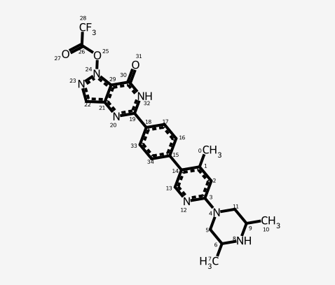 Cc1cc(N2CC(C)NC(C)C2)ncc1-c1ccc(-c2nc3cnn(OC(=O)C(F)(F)F)c3c(=O)[nH]2)cc1